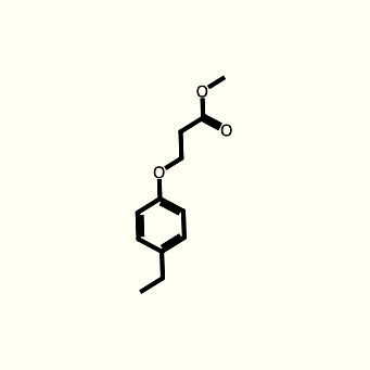 CCc1ccc(OCCC(=O)OC)cc1